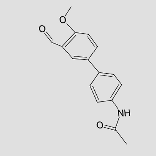 COc1ccc(-c2ccc(NC(C)=O)cc2)cc1C=O